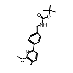 COc1nc(-c2ccc(CNC(=O)OC(C)(C)C)cc2)ccc1F